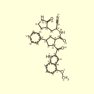 COc1cccc2[nH]c(C(=O)N3CC(c4ccncc4)CC3C(=O)NC(C#N)CC3CCNC3=O)cc12